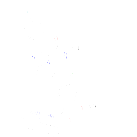 CNC(=O)c1c(-c2ccc(F)cc2)nc2ccc(-c3cc(C(=O)NC4(c5ccccn5)CCC4)c(OC)cc3Cl)cn12